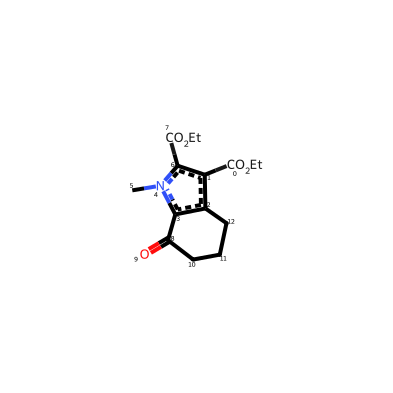 CCOC(=O)c1c2c(n(C)c1C(=O)OCC)C(=O)CCC2